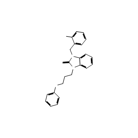 Cc1ccccc1Cn1c(=N)n(CCCOc2ccccc2)c2ccccc21